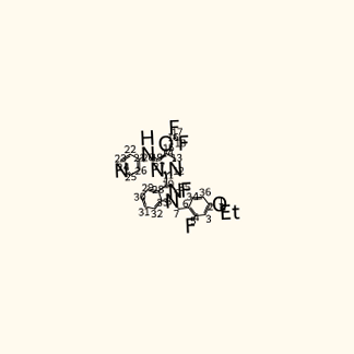 CCOc1cc(F)c(Cn2nc(-c3ncc(OC(F)F)c(Nc4ccncc4)n3)c3ccccc32)c(F)c1